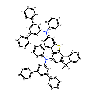 CC1(C)c2ccccc2-c2c1cc(N(c1ccccc1)c1cc(-c3ccccc3)cc(-c3ccccc3)c1)c1c2sc2cc(N(c3ccccc3)c3cc(-c4ccccc4)cc(-c4ccccc4)c3)ccc21